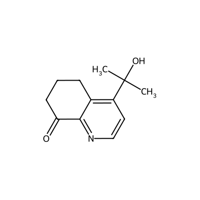 CC(C)(O)c1ccnc2c1CCCC2=O